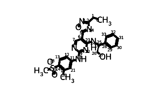 CCc1noc(-c2cnc(Nc3ccc(S(C)(=O)=O)c(C)c3)nc2N[C@H](CO)c2ccccc2)n1